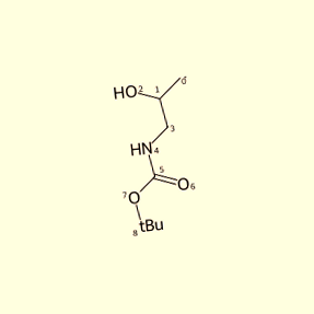 [CH2]C(O)CNC(=O)OC(C)(C)C